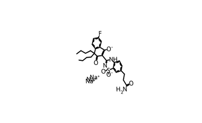 CCCCC1(CCCC)C(=O)C(C2=NS([O-])([O-])c3cc(CCC(N)=O)ccc3N2)=C([O-])c2cc(F)ccc21.[Na+].[Na+].[Na+]